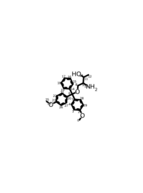 COc1ccc(C(OCC(N)C(C)O)(c2ccccc2)c2ccc(OC)cc2)cc1